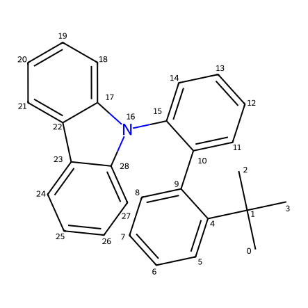 CC(C)(C)c1ccccc1-c1ccccc1-n1c2ccccc2c2ccccc21